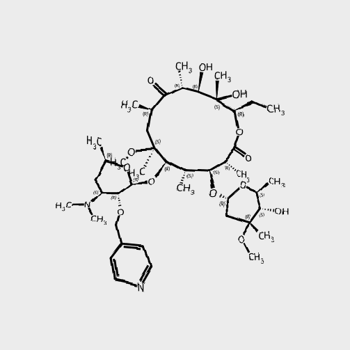 CC[C@H]1OC(=O)[C@H](C)[C@@H](O[C@H]2C[C@@](C)(OC)[C@@H](O)[C@H](C)O2)[C@H](C)[C@@H](O[C@@H]2O[C@H](C)C[C@H](N(C)C)[C@H]2OCc2ccncc2)[C@@](C)(OC)C[C@@H](C)C(=O)[C@H](C)[C@@H](O)[C@]1(C)O